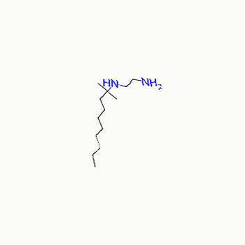 CCCCCCCCC(C)(C)NCCN